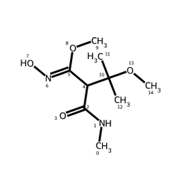 CNC(=O)C(/C(=N/O)OC)C(C)(C)OC